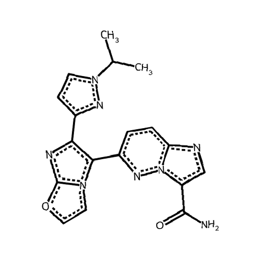 CC(C)n1ccc(-c2nc3occn3c2-c2ccc3ncc(C(N)=O)n3n2)n1